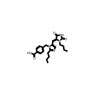 CCCCc1ncc(C=C2C(=O)NC(=O)N2CCCC)n1Cc1ccc(C(=O)O)cc1